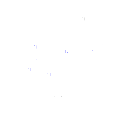 CC(=O)Nc1ccccc1-c1nn2nc(C)c(/N=N/c3c(C#N)c(C)nn3-c3ncccn3)c2[nH]1